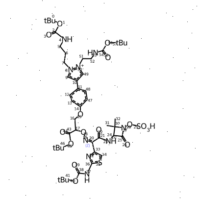 CC(C)(C)OC(=O)NCCCn1cc(-c2ccc(OCC(O/N=C(\C(=O)N[C@@H]3C(=O)N(OS(=O)(=O)O)C3(C)C)c3csc(NC(=O)OC(C)(C)C)n3)C(=O)OC(C)(C)C)cc2)c[n+]1CCNC(=O)OC(C)(C)C